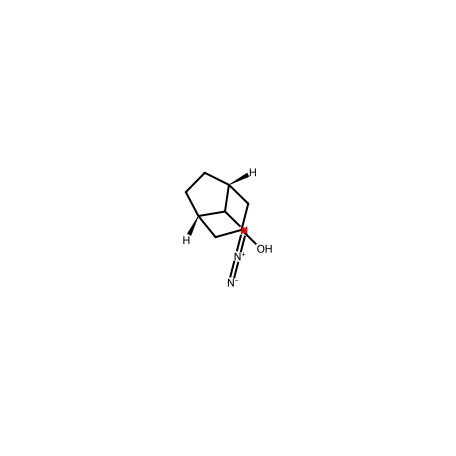 [N-]=[N+]=NC1[C@@H]2CC[C@H]1CC(O)C2